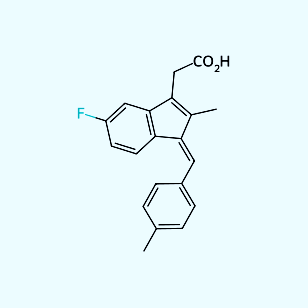 CC1=C(CC(=O)O)c2cc(F)ccc2/C1=C\c1ccc(C)cc1